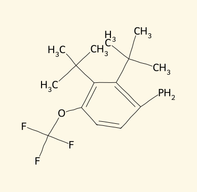 CC(C)(C)c1c(P)ccc(OC(F)(F)F)c1C(C)(C)C